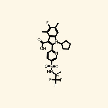 Cc1cc2c(c(C)c1F)c(C(=O)O)c(-c1ccc(S(=O)(=O)N[C@@H](C)C(F)(F)F)cn1)n2C1CCCC1